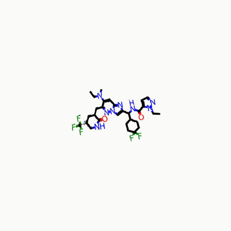 CCN(C)c1cc2nc(C(NC(=O)c3ccnn3CC)C3CCC(F)(F)CC3)cn2nc1CC1C[C@@H](C(F)(F)F)CNC1=O